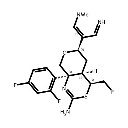 CN/C=C(\C=N)[C@H]1C[C@H]2[C@@H](CF)SC(N)=N[C@@]2(c2ccc(F)cc2F)CO1